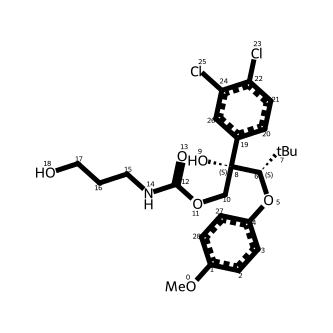 COc1ccc(O[C@@H](C(C)(C)C)[C@@](O)(COC(=O)NCCCO)c2ccc(Cl)c(Cl)c2)cc1